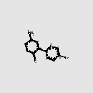 CCc1ccc(N)cc1-c1ccc(F)cn1